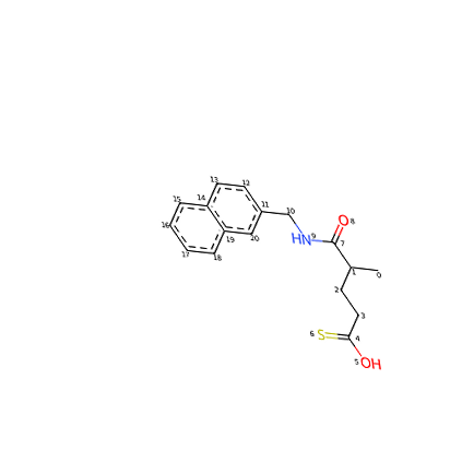 CC(CCC(O)=S)C(=O)NCc1ccc2ccccc2c1